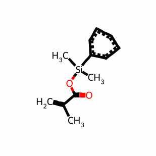 C=C(C)C(=O)O[Si](C)(C)c1ccccc1